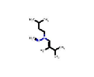 C=NN(/C=C(\C)C(C)C)CCC(C)C